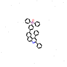 O=P(c1ccccc1)(c1ccccc1)c1ccc(-c2ccc3ccc4nc(-c5ccccc5)cc(-c5ccccc5)c4c3c2)cc1